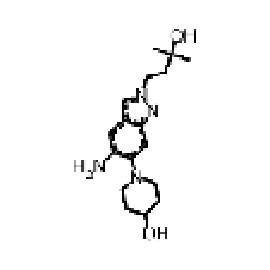 CC(C)(O)CCn1cc2cc(N)c(N3CCC(O)CC3)cc2n1